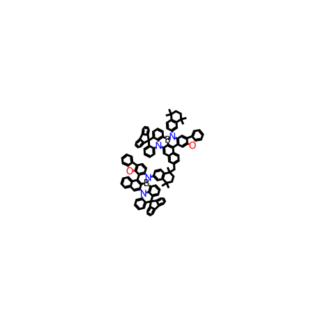 CC1(C)CCC(C)(C)c2cc(N3B4c5cccc6c5N(c5ccccc5C65c6ccccc6-c6ccccc65)c5cc6cc(CC7(C)CCC(C)(C)c8cc(N9B%10c%11cccc%12c%11N(c%11ccccc%11C%12%11c%12ccccc%12-c%12ccccc%12%11)c%11cc%12ccccc%12c(c%11%10)-c%10c9ccc9c%10oc%10ccccc%109)ccc87)ccc6c(c54)-c4cc5oc6ccccc6c5cc43)ccc21